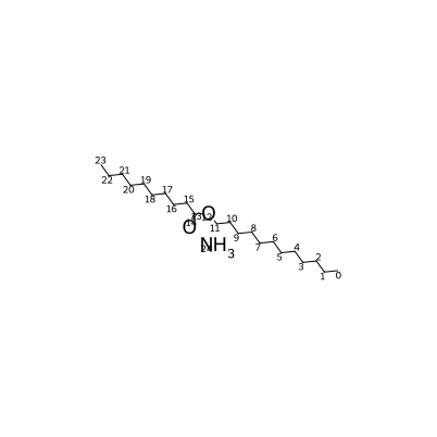 CCCCCCCCCCCCOC(=O)CCCCCCCCC.N